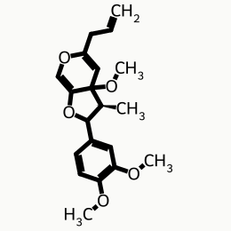 C=CCC1=CC2(OC)C(=CO1)OC(c1ccc(OC)c(OC)c1)[C@@H]2C